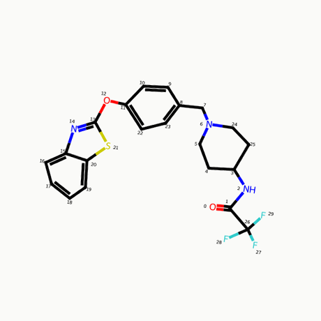 O=C(NC1CCN(Cc2ccc(Oc3nc4ccccc4s3)cc2)CC1)C(F)(F)F